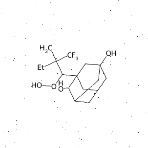 CCC(C)(C(OO)C12CC3CC(CC(O)(C3)C1)C2O)C(F)(F)F